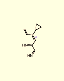 C=C/C(=C\C(=N)C=N)C1CC1